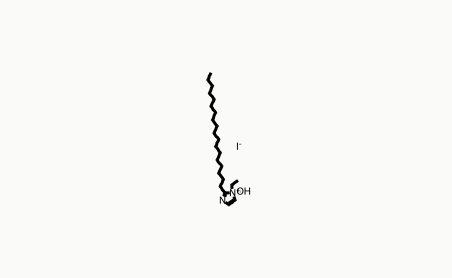 CCCCCCCCCCCCCCCCCCC1=NC=C[N+]1(O)CC.[I-]